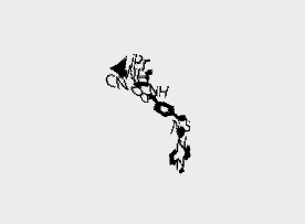 CC(C)C[C@H](NC(=O)c1ccc(-c2csc(N3CCN(C)CC3)n2)cc1)C(=O)NC1(C#N)CC1